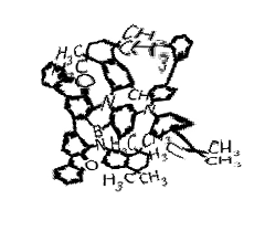 Cc1cc2c(cc1N1c3cc(N(c4ccc(-c5ccccc5)cc4)c4ccc(C(C)(C)C)cc4)ccc3B3c4c(cc5c(oc6ccccc65)c41)-c1ccc4c(oc5ccccc54)c1N3c1ccc3c(c1)C(C)(C)CCC3(C)C)C(C)(C)CCC2(C)C